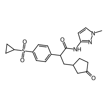 Cn1ccc(NC(=O)C(CC2CCC(=O)C2)c2ccc(S(=O)(=O)C3CC3)cc2)n1